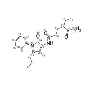 CCCn1c(C)c(NC(=O)CCC(CC)C(N)=O)c(=O)n1-c1ccccc1